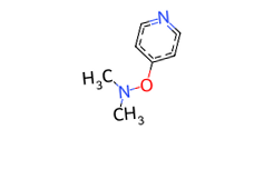 CN(C)Oc1ccncc1